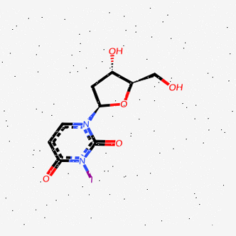 O=c1ccn([C@H]2C[C@H](O)[C@@H](CO)O2)c(=O)n1I